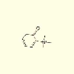 C[N+](C)(C)C1=CC=CCC1=O